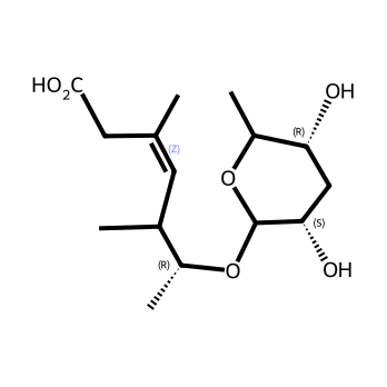 C/C(=C/C(C)[C@@H](C)OC1OC(C)[C@H](O)C[C@@H]1O)CC(=O)O